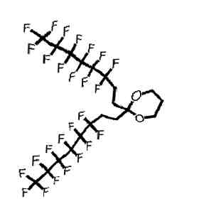 FC(F)(F)C(F)(F)C(F)(F)C(F)(F)C(F)(F)C(F)(F)CCC1(CCC(F)(F)C(F)(F)C(F)(F)C(F)(F)C(F)(F)C(F)(F)F)OCCCO1